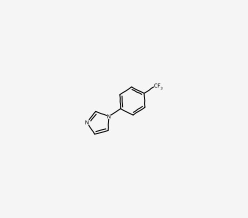 FC(F)(F)c1ccc(-n2ccnc2)cc1